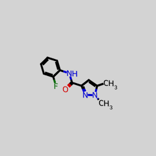 Cc1cc(C(=O)Nc2ccccc2F)nn1C